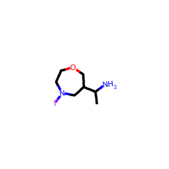 CC(N)C1COCCN(I)C1